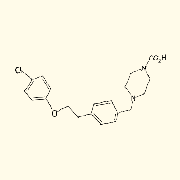 O=C(O)N1CCN(Cc2ccc(CCOc3ccc(Cl)cc3)cc2)CC1